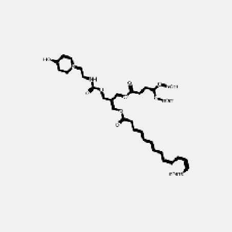 CCCCC/C=C\C/C=C\CCCCCCCC(=O)OCC(COC(=O)CCC(OCCCCCCCC)OCCCCCCCC)COC(=O)NCCN1CCC(O)CC1